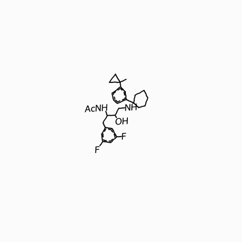 CC(=O)NC(Cc1cc(F)cc(F)c1)C(O)CNC1(c2cccc(C3(C)CC3)c2)CCCCC1